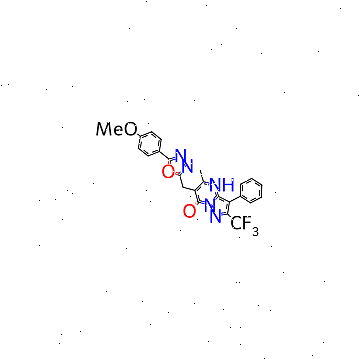 COc1ccc(-c2nnc(Cc3c(C)[nH]c4c(-c5ccccc5)c(C(F)(F)F)nn4c3=O)o2)cc1